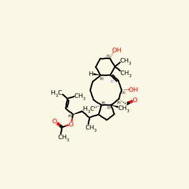 CC(=O)O[C@@H](C=C(C)C)CC(C)C1CC[C@@]2(C)[C@@H](C=O)[C@@H](O)/C=C3\[C@H](CCC[C@]12C)CC[C@H](O)C3(C)C